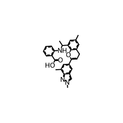 Cc1cc2c(c(C(C)Nc3ccccc3C(=O)O)c1)OC(c1cc(C)c3nn(C)cc3c1)=CC2